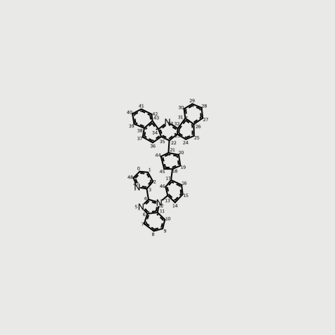 c1ccc(-c2nc3ccccc3n2-c2cccc(-c3ccc(-c4c5ccc6ccccc6c5nc5c4ccc4ccccc45)cc3)c2)nc1